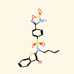 CCCCN(c1sc2ccccc2c1Br)S(=O)(=O)c1ccc(C2=NOS(=O)N2)cc1